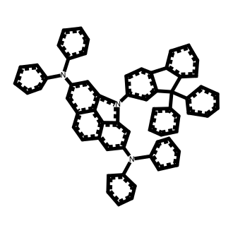 c1ccc(N(c2ccccc2)c2cc3ccc4cc(N(c5ccccc5)c5ccccc5)cc5c4c3c(c2)n5-c2ccc3c(c2)C(c2ccccc2)(c2ccccc2)c2ccccc2-3)cc1